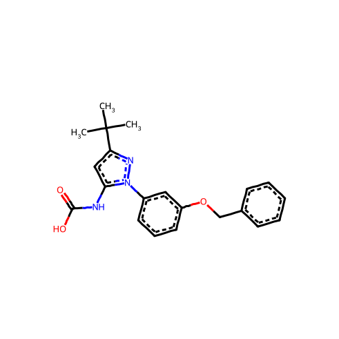 CC(C)(C)c1cc(NC(=O)O)n(-c2cccc(OCc3ccccc3)c2)n1